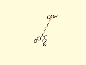 CCC(C(=CCCCCCCCCCC(=O)O)c1ccc(OC)cc1)c1ccc(OC)cc1